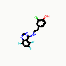 Oc1ccc(CCNc2ncnc3c(F)cc(F)c(F)c23)cc1Cl